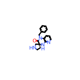 O=C1N(Cc2ccccc2)c2cccnc2N[C@@]12CCNC2